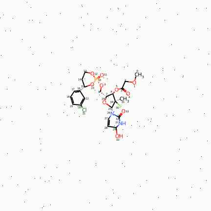 COCC(=O)O[C@@H]1[C@@H](CO[P@@]2(=O)OCC[C@@H](c3cccc(Cl)c3)O2)O[C@@H](N2C=CC(O)NC2=O)[C@]1(C)F